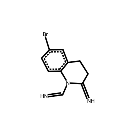 N=CN1C(=N)CCc2cc(Br)ccc21